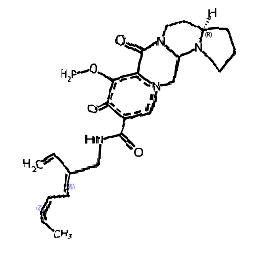 C=C/C(=C\C=C/C)CNC(=O)c1cn2c(c(OP)c1=O)C(=O)N1CC[C@H]3CCCN3C1C2